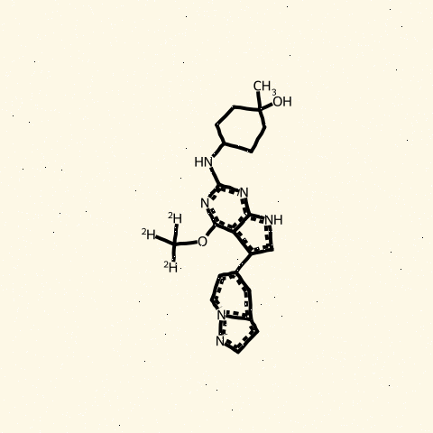 [2H]C([2H])([2H])Oc1nc(NC2CCC(C)(O)CC2)nc2[nH]cc(-c3ccn4nccc4c3)c12